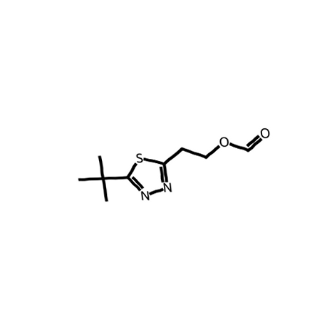 CC(C)(C)c1nnc(CCOC=O)s1